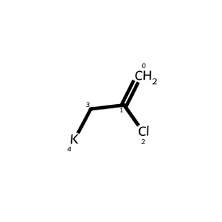 C=C(Cl)[CH2][K]